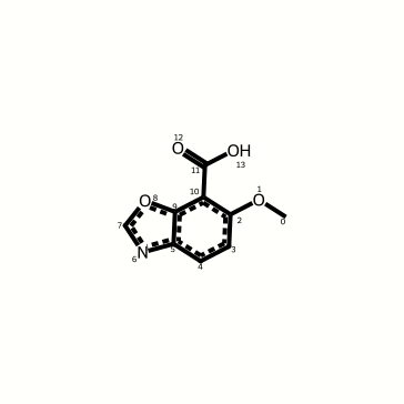 COc1ccc2ncoc2c1C(=O)O